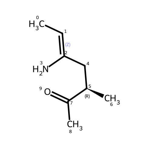 C/C=C(\N)C[C@@H](C)C(C)=O